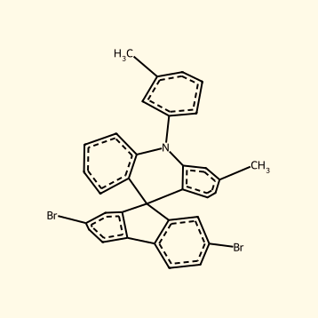 Cc1cccc(N2c3ccccc3C3(c4cc(Br)ccc4-c4ccc(Br)cc43)c3ccc(C)cc32)c1